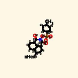 CCCCCCc1ccc2c3c(cccc13)C(=O)N(OS(=O)(=O)c1ccc(C)cc1)C2=O